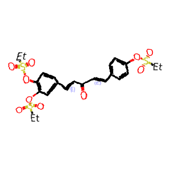 CCS(=O)(=O)Oc1ccc(/C=C/C(=O)/C=C/c2ccc(OS(=O)(=O)CC)c(OS(=O)(=O)CC)c2)cc1